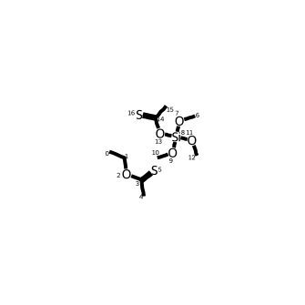 CCOC(C)=S.CO[Si](OC)(OC)OC(C)=S